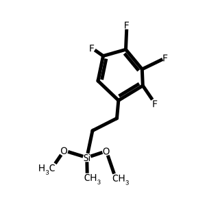 CO[Si](C)(CCc1cc(F)c(F)c(F)c1F)OC